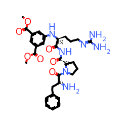 COC(=O)c1cc(N[C@@H](CCCN=C(N)N)C(=O)NC(=O)[C@@H]2CCCN2C(=O)[C@H](N)Cc2ccccc2)cc(C(=O)OC)c1